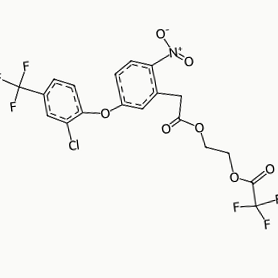 O=C(Cc1cc(Oc2ccc(C(F)(F)F)cc2Cl)ccc1[N+](=O)[O-])OCCOC(=O)C(F)(F)F